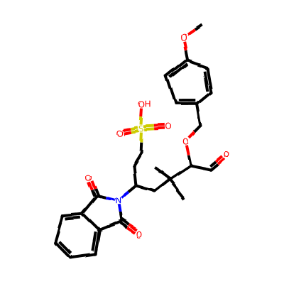 COc1ccc(COC(C=O)C(C)(C)CC(CCS(=O)(=O)O)N2C(=O)c3ccccc3C2=O)cc1